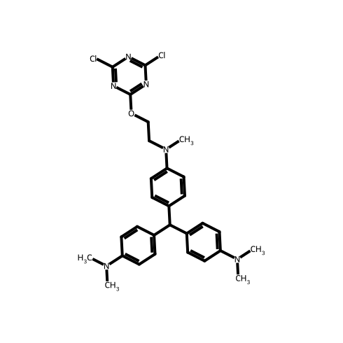 CN(C)c1ccc(C(c2ccc(N(C)C)cc2)c2ccc(N(C)CCOc3nc(Cl)nc(Cl)n3)cc2)cc1